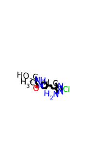 Cc1nc(Cl)nc(N)c1CCC1CCN(C(=O)C(C)NC(=O)O)CC1